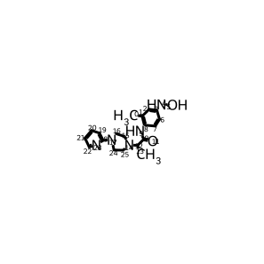 Cc1cc(NO)ccc1NC(=O)C(C)N1CCN(c2ccccn2)CC1